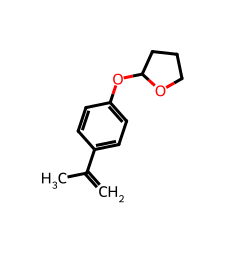 C=C(C)c1ccc(OC2CCCO2)cc1